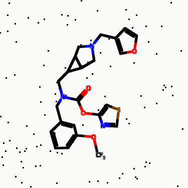 O=C(Oc1cscn1)N(Cc1cccc(OC(F)(F)F)c1)CC1C2CN(Cc3ccoc3)CC21